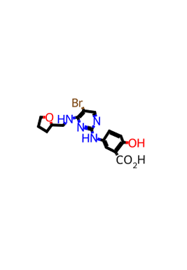 O=C(O)c1cc(Nc2ncc(Br)c(NCC3CCCO3)n2)ccc1O